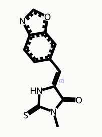 CN1C(=O)/C(=C/c2ccc3ncoc3c2)NC1=S